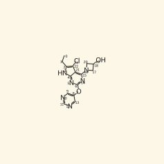 CCc1[nH]c2nc(Oc3cncnc3)nc(N3CC(O)C3)c2c1Cl